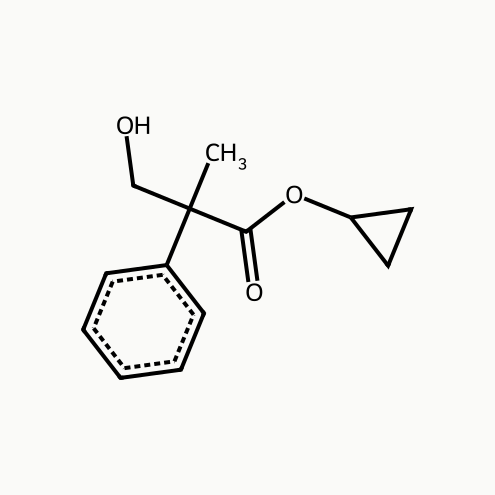 CC(CO)(C(=O)OC1CC1)c1ccccc1